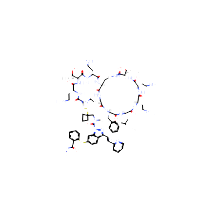 CNC(=O)c1ccccc1Sc1ccc2c(/C=C/c3ccccn3)nn(C(=O)N(C)CC3(SSCC(=O)N[C@@H](CCN)C(=O)N[C@H](C(=O)N[C@@H](CCN)C(=O)N[C@H]4CCNC(=O)[C@H]([C@@H](C)O)NC(=O)[C@H](CCN)NC(=O)[C@H](CCN)NC(=O)[C@H](CC(C)C)NC(=O)[C@@H](Cc5ccccc5)NC(=O)[C@H](CCN)NC4=O)[C@@H](C)O)CCC3)c2c1